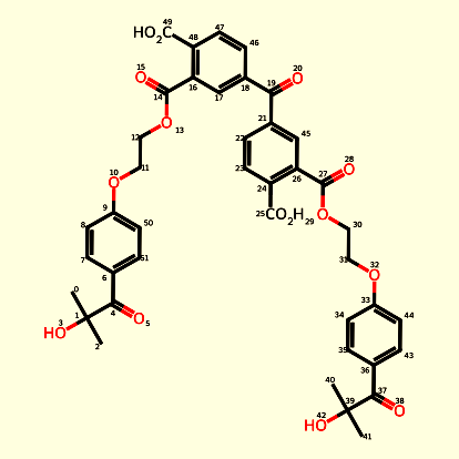 CC(C)(O)C(=O)c1ccc(OCCOC(=O)c2cc(C(=O)c3ccc(C(=O)O)c(C(=O)OCCOc4ccc(C(=O)C(C)(C)O)cc4)c3)ccc2C(=O)O)cc1